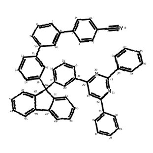 N#Cc1ccc(-c2cccc(-c3cccc(C4(c5cccc(-c6cc(-c7ccccc7)nc(-c7ccccc7)n6)c5)c5ccccc5-c5ccccc54)c3)c2)cc1